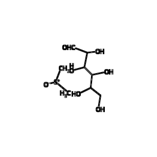 C[S+](C)[O-].O=CC(O)C(O)C(O)C(O)CO